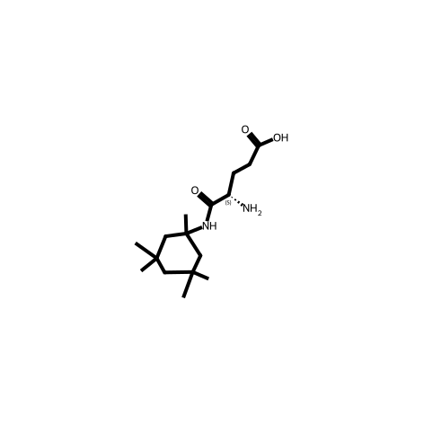 CC1(C)CC(C)(C)CC(C)(NC(=O)[C@@H](N)CCC(=O)O)C1